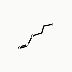 O=POCCF